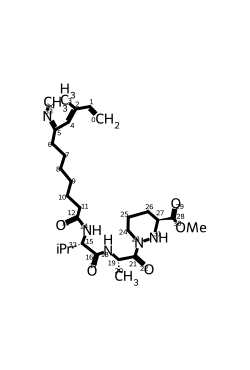 C=C/C(C)=C/C(CCCCCCC(=O)N[C@H](C(=O)N[C@@H](C)C(=O)N1CCC[C@@H](C(=O)OC)N1)C(C)C)=N\C